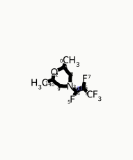 CC1CN(/C(F)=C(\F)C(F)(F)F)CC(C)O1